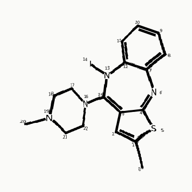 Cc1cc2c(s1)=Nc1ccccc1N(I)C=2N1CCN(C)CC1